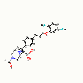 CC(=O)N1CC2CC(c3ccc(CCCOc4cc(F)ccc4F)cc3)=C(C(=O)O)C(C1)N2